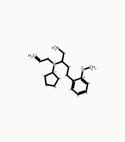 C=CCN(C(CN)CCc1ccccc1OC)C1CCCC1